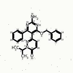 CC(C)n1nc(-c2c(OCc3ccccc3)nc(N)nc2-c2ccccc2)ccc1=O